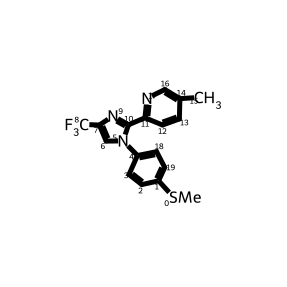 CSc1ccc(-n2cc(C(F)(F)F)nc2-c2ccc(C)cn2)cc1